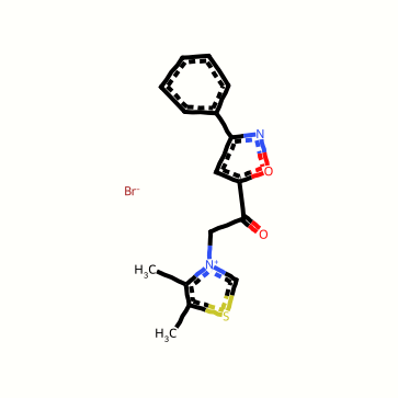 Cc1sc[n+](CC(=O)c2cc(-c3ccccc3)no2)c1C.[Br-]